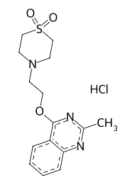 Cc1nc(OCCN2CCS(=O)(=O)CC2)c2ccccc2n1.Cl